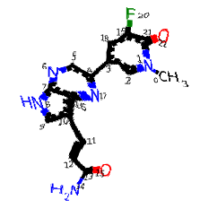 Cn1cc(-c2cnc3[nH]cc(/C=C/C(N)=O)c3n2)cc(F)c1=O